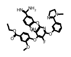 CCOC(=O)c1ccc(Oc2c(F)c(Oc3cccc(C4=NCCN4C)c3)nc(Oc3cc(C(=N)N)ccc3O)c2F)c(OC)c1